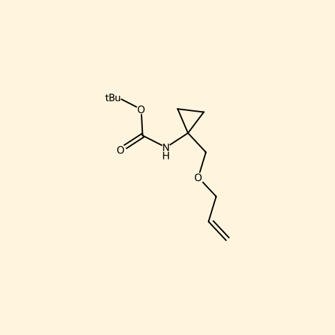 C=CCOCC1(NC(=O)OC(C)(C)C)CC1